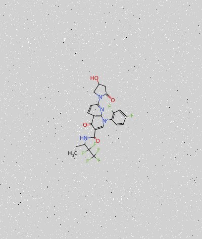 CCC(NC(=O)c1cn(-c2ccc(F)cc2F)c2nc(N3CC(O)CC3=O)ccc2c1=O)C(F)(F)C(F)(F)F